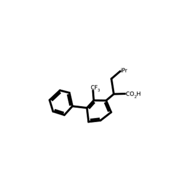 CC(C)CC(C(=O)O)c1cccc(-c2ccccc2)c1C(F)(F)F